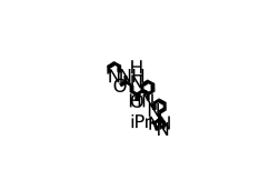 CC(C)n1cnnc1-c1cccc(Nc2cccc3[nH]c(C(=O)Nc4ccccn4)cc(=O)c23)n1